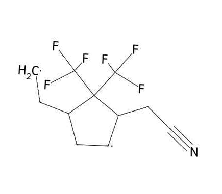 [CH2]CC1C[CH]C(CC#N)C1(C(F)(F)F)C(F)(F)F